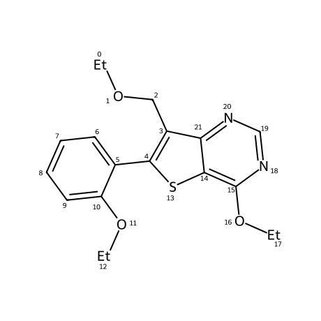 CCOCc1c(-c2ccccc2OCC)sc2c(OCC)ncnc12